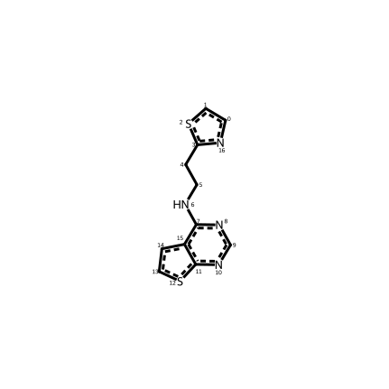 c1csc(CCNc2ncnc3sccc23)n1